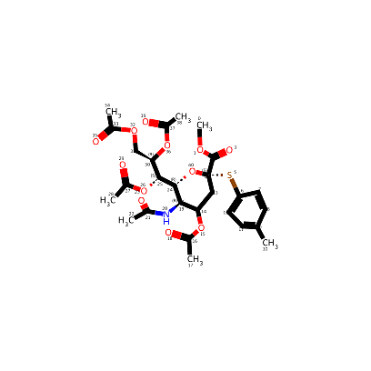 COC(=O)[C@@]1(Sc2ccc(C)cc2)CC(OC(C)=O)[C@@H](NC(C)=O)[C@H]([C@H](OC(C)=O)[C@@H](COC(C)=O)OC(C)=O)O1